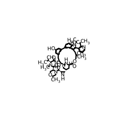 CCn1c(-c2cccnc2C(C)C)c2c3cc(ccc31)-c1cc(O)cc(c1)C[C@H](NC(=O)[C@H](C(C)C)N(C)C(=O)[C@@H]1CO[C@H](C)CN1C(=O)[C@H]1CN1)C(=O)N1CCC[C@H](N1)C(=O)OCC(C)(C)C2